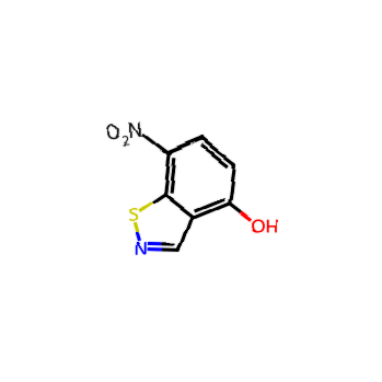 O=[N+]([O-])c1ccc(O)c2cnsc12